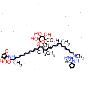 CC(=O)C1(NC(=N)N(C)CCC/C=C/CC(C)/C=C/CCCC(C)/C=C(\C)C(OC2OC(C(=O)O)C(O)C(O)C2O)C(C)/C=C/C=C/C=C/C=C/C=C(\C)C(=O)NC2=C(O)CCC2=O)CCCC1